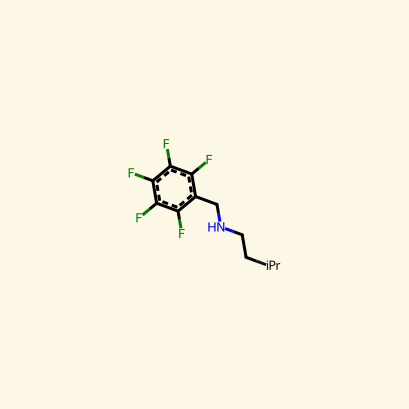 CC(C)CCNCc1c(F)c(F)c(F)c(F)c1F